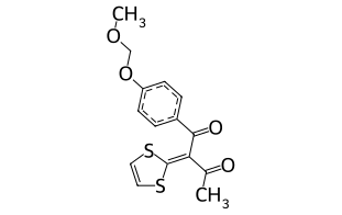 COCOc1ccc(C(=O)C(C(C)=O)=C2SC=CS2)cc1